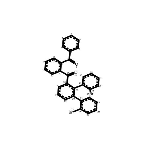 O=C(c1ccccc1)c1ccccc1C(=O)c1cccc(-c2ccccc2Br)c1-c1ccccc1Br